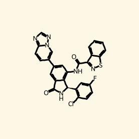 O=C1N[C@H](c2cc(F)ccc2Cl)c2c(NC(=O)c3nsc4ccccc34)cc(-c3ccc4ncnn4c3)cc21